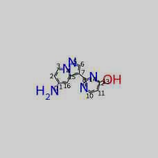 Nc1ccn2ncc(-c3nccc(O)n3)c2c1